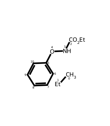 CCC.CCOC(=O)NOc1ccccc1